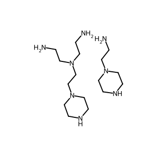 NCCN(CCN)CCN1CCNCC1.NCCN1CCNCC1